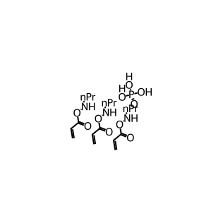 C=CC(=O)ONCCC.C=CC(=O)ONCCC.C=CC(=O)ONCCC.O=P(O)(O)O